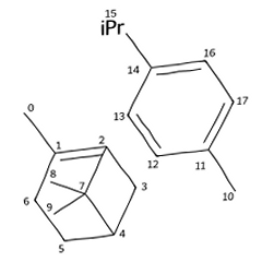 CC1=C2CC(CC1)C2(C)C.Cc1ccc(C(C)C)cc1